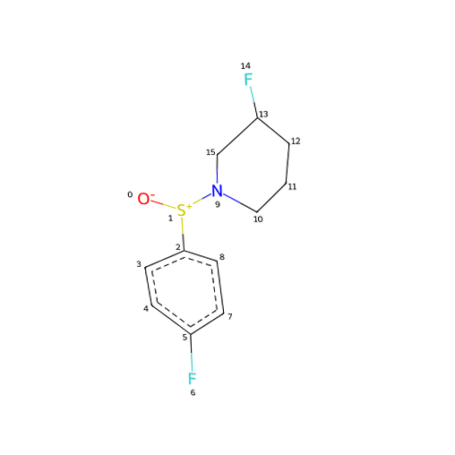 [O-][S+](c1ccc(F)cc1)N1CCCC(F)C1